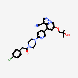 CC(C)(O)COc1cc(-c2ccc(N3CCN(C(=O)Cc4ccc(Cl)cc4)CC3)nc2)c2c(C#N)cnn2c1